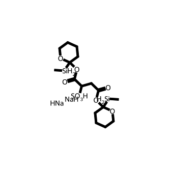 C[SiH2]C1(OC(=O)CC(C(=O)OC2([SiH2]C)CCCCO2)S(=O)(=O)O)CCCCO1.[NaH].[NaH]